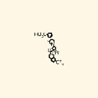 CC(C)[C@]1(C(=O)N2CCc3ccc(C(F)(F)F)cc3C2)CC[C@@H](N2CC[C@@H](c3cccc(C(=O)O)c3)[C@H](C)C2)C1